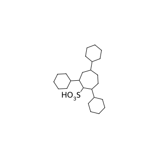 O=S(=O)(O)C1C(C2CCCCC2)CCC(C2CCCCC2)CC1C1CCCCC1